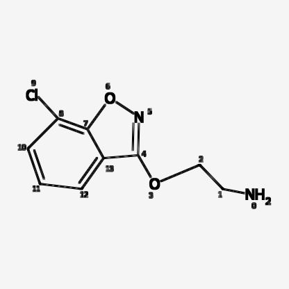 NCCOc1noc2c(Cl)cccc12